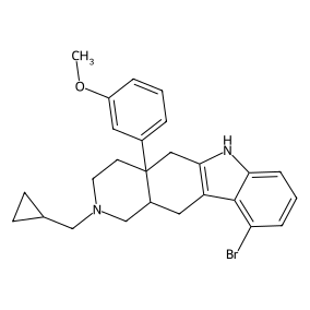 COc1cccc(C23CCN(CC4CC4)CC2Cc2c([nH]c4cccc(Br)c24)C3)c1